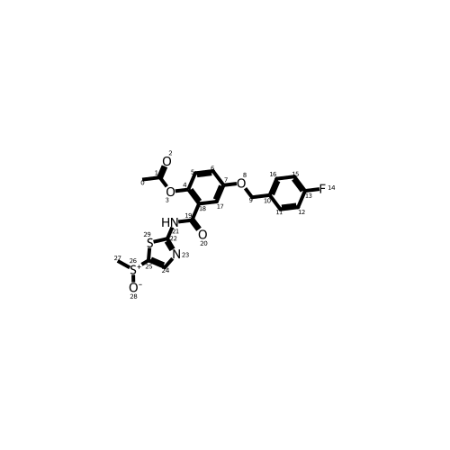 CC(=O)Oc1ccc(OCc2ccc(F)cc2)cc1C(=O)Nc1ncc([S+](C)[O-])s1